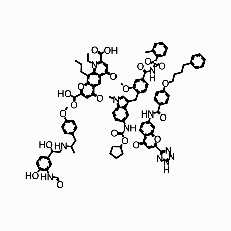 CCCc1c2oc(C(=O)O)cc(=O)c2cc2c(=O)cc(C(=O)O)n(CC)c12.COc1cc(C(=O)NS(=O)(=O)c2ccccc2C)ccc1Cc1cn(C)c2ccc(NC(=O)OC3CCCC3)cc12.COc1ccc(CC(C)NCC(O)c2ccc(O)c(NC=O)c2)cc1.O=C(Nc1ccc2c(=O)cc(-c3nn[nH]n3)oc2c1)c1ccc(OCCCCc2ccccc2)cc1